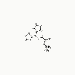 CCC[SiH2]OC(=O)CCC(C1CCCC1)C1CCCC1